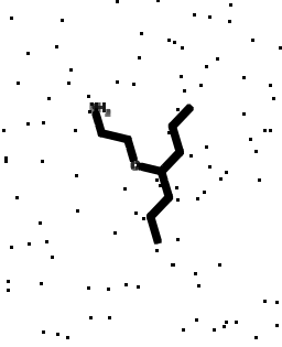 CCCC(CCC)OCCN